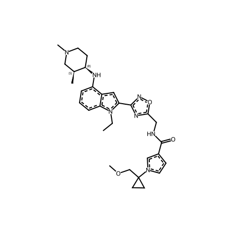 CCn1c(-c2noc(CNC(=O)c3ccn(C4(COC)CC4)c3)n2)cc2c(N[C@@H]3CCN(C)C[C@@H]3C)cccc21